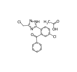 CC(=O)O.O=C(c1ccccc1)c1cc(Cl)ccc1-c1nc(CCl)n[nH]1